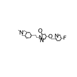 CN1Cc2ccc(CCn3ncc(OCc4ccc(F)cn4)cc3=O)cc2C1